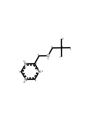 CC(C)(C)COCc1ncncn1